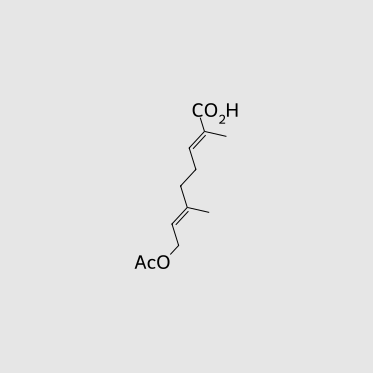 CC(=O)OC/C=C(\C)CC/C=C(\C)C(=O)O